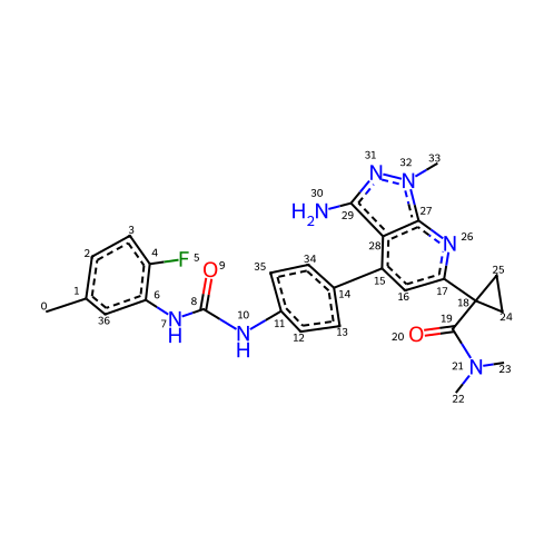 Cc1ccc(F)c(NC(=O)Nc2ccc(-c3cc(C4(C(=O)N(C)C)CC4)nc4c3c(N)nn4C)cc2)c1